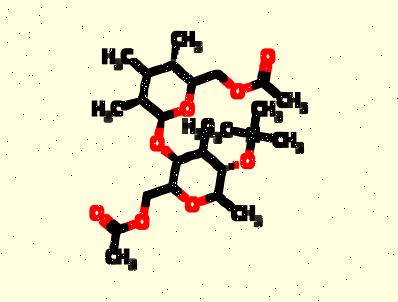 CC(=O)OCC1O[C@@H](O[C@@H]2C(COC(C)=O)OC(C)[C@@H](O[Si](C)(C)C)C2C)[C@@H](C)C(C)[C@@H]1C